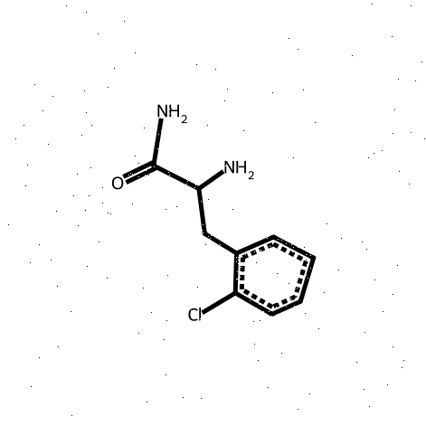 NC(=O)C(N)Cc1ccccc1Cl